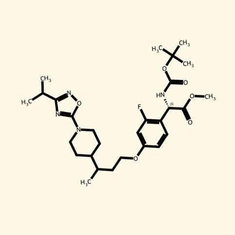 COC(=O)[C@@H](NC(=O)OC(C)(C)C)c1ccc(OCCC(C)C2CCN(c3nc(C(C)C)no3)CC2)cc1F